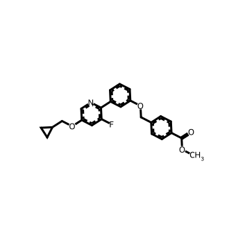 COC(=O)c1ccc(COc2cccc(-c3ncc(OCC4CC4)cc3F)c2)cc1